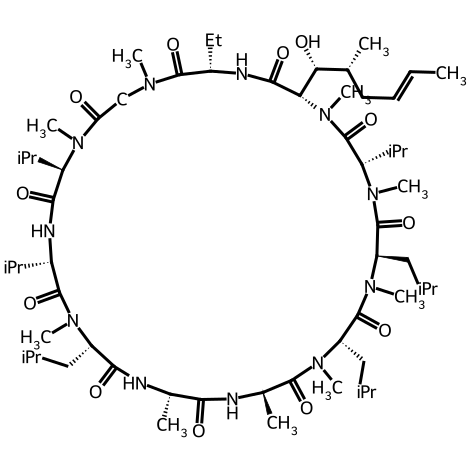 C/C=C/C[C@@H](C)[C@@H](O)[C@H]1C(=O)N[C@@H](CC)C(=O)N(C)CC(=O)N(C)[C@H](C(C)C)C(=O)N[C@@H](C(C)C)C(=O)N(C)[C@@H](CC(C)C)C(=O)N[C@@H](C)C(=O)N[C@H](C)C(=O)N(C)[C@@H](CC(C)C)C(=O)N(C)[C@H](CC(C)C)C(=O)N(C)[C@@H](C(C)C)C(=O)N1C